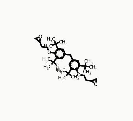 CC(C)(C)c1cc(Cc2cc(C(C)(C)C)c(OCCC3CO3)c(C(C)(C)C)c2)cc(C(C)(C)C)c1OCCC1CO1